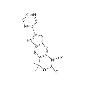 CCCN1C(=O)OC(C)(C)c2cc3[nH]c(-c4cnccn4)nc3cc21